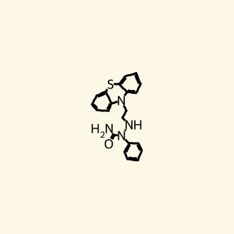 NC(=O)N(NCCN1c2ccccc2Sc2ccccc21)c1ccccc1